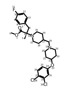 COC(=O)[C@](C)(Cc1ccc(F)cc1)N1CCC(CN2CCC(Oc3ccc(Cl)c(Cl)c3)CC2)CC1